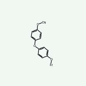 CCOc1ccc(Oc2ccc(OC#N)cc2)cc1